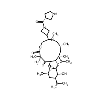 CO[C@]1(C)C[C@@H](C)CN(C)[C@H](C2CN(C(=O)[C@@H]3CCNC3)C2)COC(=O)C(C)(C)C(=O)[C@H](C)[C@H]1O[C@@H]1O[C@H](C)C[C@H](N(C)C)[C@H]1O